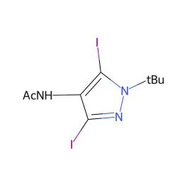 CC(=O)Nc1c(I)nn(C(C)(C)C)c1I